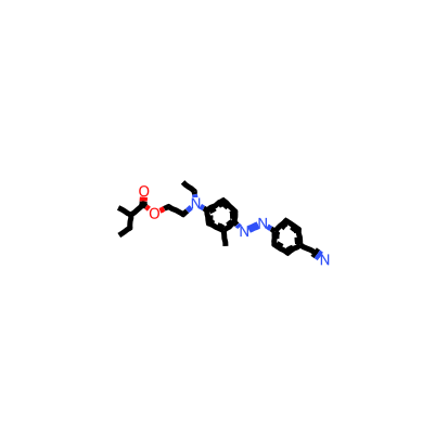 CCC(C)C(=O)OCCN(CC)c1ccc(/N=N/c2ccc(C#N)cc2)c(C)c1